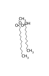 CCCCCCCCCCCC(=O)O.CCCCCCCCCCCCCC(=O)OCC